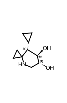 O[C@H]1[C@H](O)CNC2(CC2)[C@@H]1C1CC1